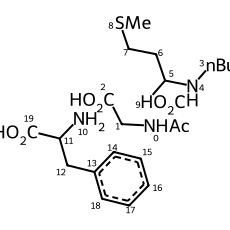 CC(=O)NCC(=O)O.CCCCNC(CCSC)C(=O)O.NC(Cc1ccccc1)C(=O)O